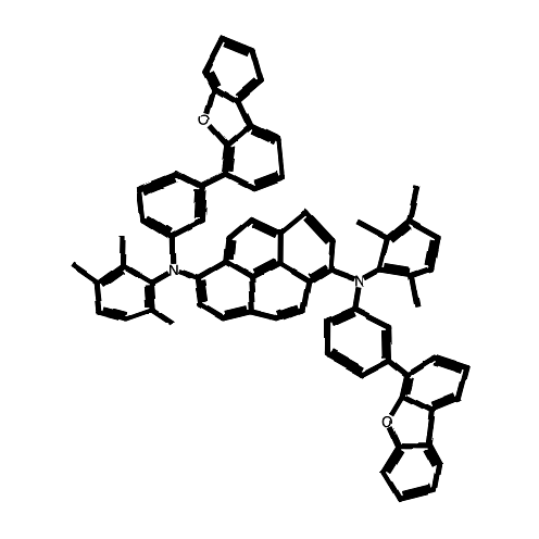 Cc1ccc(C)c(N(c2cccc(-c3cccc4c3oc3ccccc34)c2)c2ccc3ccc4c(N(c5cccc(-c6cccc7c6oc6ccccc67)c5)c5c(C)ccc(C)c5C)ccc5ccc2c3c54)c1C